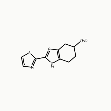 O=CC1CCc2[nH]c(-c3nccs3)nc2C1